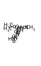 CCc1ccc(C[C@@H](NC(=O)ON2CCC(N3CCc4ccccc4NC3=O)CC2)C(=O)N2CCN(C3CCN(C)CC3)CC2)cc1CC